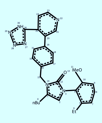 CCCCc1cn(-c2c(CC)cccc2OC)c(=O)n1Cc1ccc(-c2cnccc2-c2nnn[nH]2)cc1